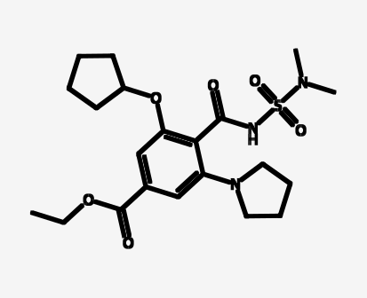 CCOC(=O)c1cc(OC2CCCC2)c(C(=O)NS(=O)(=O)N(C)C)c(N2CCCC2)c1